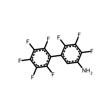 Nc1cc(-c2c(F)c(F)c(F)c(F)c2F)c(F)c(F)c1F